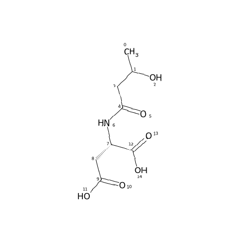 CC(O)CC(=O)N[C@@H](CC(=O)O)C(=O)O